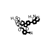 CCOC(=O)Cc1cccc(C#N)c1OC1CC2(CCN(C(=O)OC)CC2)c2ccc(-c3ccc4ccnc(N)c4c3)cc21